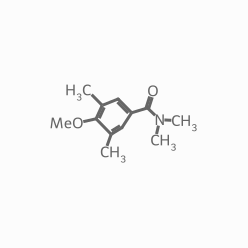 COc1c(C)cc(C(=O)N(C)C)cc1C